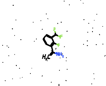 C=C(N)c1cccc(C(F)F)c1F